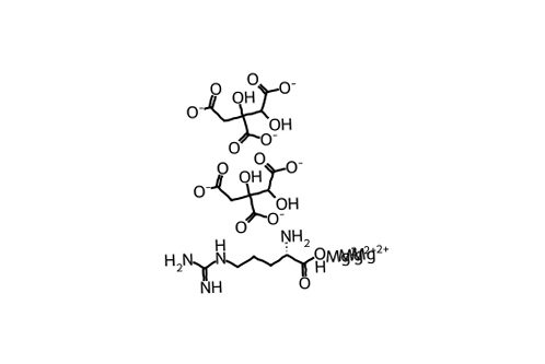 N=C(N)NCCC[C@H](N)C(=O)O.O=C([O-])CC(O)(C(=O)[O-])C(O)C(=O)[O-].O=C([O-])CC(O)(C(=O)[O-])C(O)C(=O)[O-].[Mg+2].[Mg+2].[Mg+2]